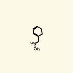 ONCC1=CC=CCC1